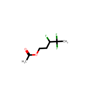 CC(=O)OCCC(F)C(C)(F)F